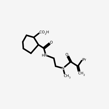 C=C(C(=O)N(C)CCNC(=O)C1CCCCC1C(=O)O)C(C)C